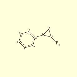 FC1[CH]C1c1ccccc1